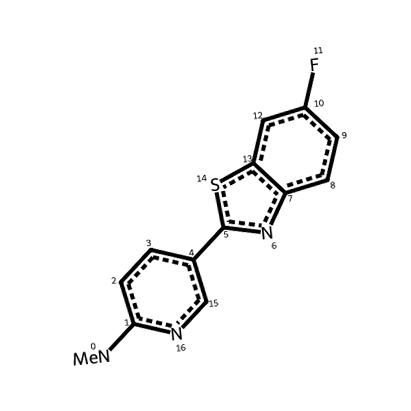 CNc1ccc(-c2nc3ccc(F)cc3s2)cn1